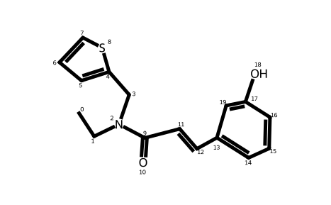 CCN(Cc1cccs1)C(=O)C=Cc1cccc(O)c1